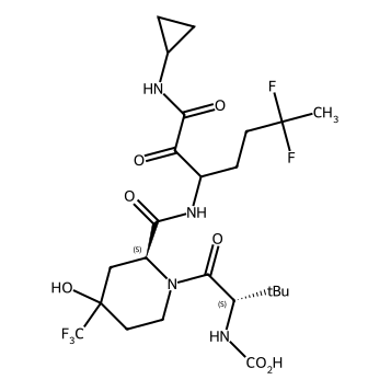 CC(F)(F)CCC(NC(=O)[C@@H]1CC(O)(C(F)(F)F)CCN1C(=O)[C@@H](NC(=O)O)C(C)(C)C)C(=O)C(=O)NC1CC1